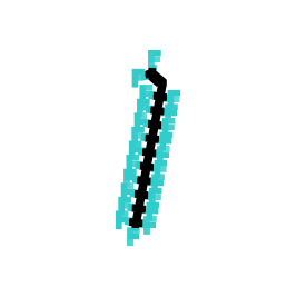 FC(F)=CC(F)(F)C(F)(F)C(F)(F)C(F)(F)C(F)(F)C(F)(F)C(F)(F)C(F)(F)C(F)(F)C(F)(F)F